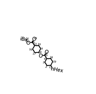 CCCCCCC1CCC(C(=O)OC2CCC(C(=O)OC(C)CC)CC2)CC1